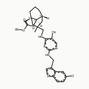 CC1(CNc2nc(NCc3csc4ccc(Cl)cc34)ncc2C#N)C[C@H]2CCC[C@@H](C1)[C@@H]2NC(=O)OC(C)(C)C